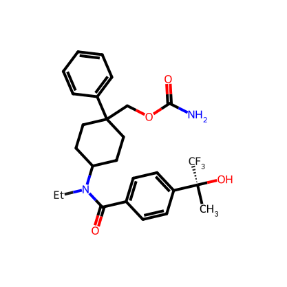 CCN(C(=O)c1ccc([C@](C)(O)C(F)(F)F)cc1)C1CCC(COC(N)=O)(c2ccccc2)CC1